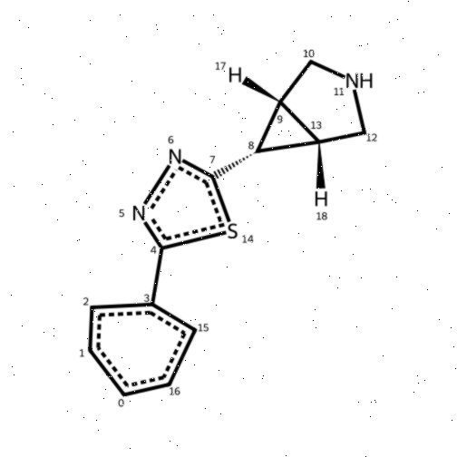 c1ccc(-c2nnc([C@@H]3[C@@H]4CNC[C@@H]43)s2)cc1